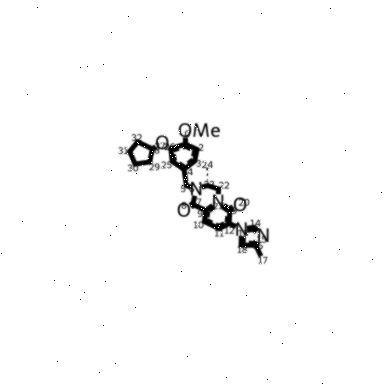 COc1ccc(CN2C(=O)c3ccc(-n4cnc(C)c4)c(=O)n3C[C@H]2C)cc1OC1CCCC1